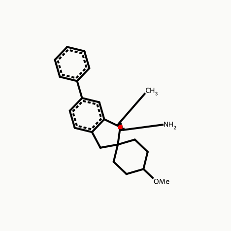 COC1CCC2(CC1)Cc1ccc(-c3ccccc3)cc1C21N=C(C)C(N)=N1